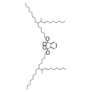 CCCCCCCCC(C)C(CCCCCCCC)CCCCCOC(=O)c1ccccc1C(=O)OCCCCCC(CCCCCCCC)C(C)CCCCCCCC